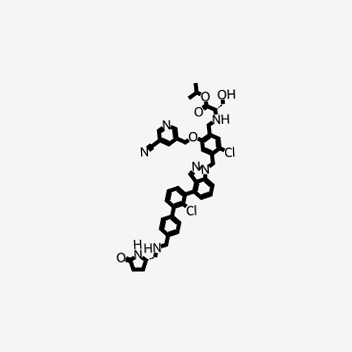 CC(C)OC(=O)[C@H](CO)NCc1cc(Cl)c(Cn2ncc3c(-c4cccc(-c5ccc(CNC[C@@H]6CCC(=O)N6)cc5)c4Cl)cccc32)cc1OCc1cncc(C#N)c1